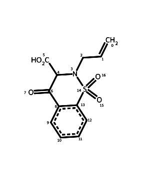 C=CCN1C(C(=O)O)C(=O)c2ccccc2S1(=O)=O